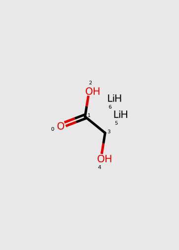 O=C(O)CO.[LiH].[LiH]